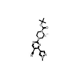 C[C@@H]1CN(c2ncc(C#N)c(-c3cnn(C)c3)n2)CCN1C(=O)OC(C)(C)C